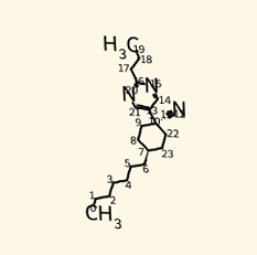 CCCCCCC[C@H]1CC[C@@](C#N)(c2cnc(CCC)nc2)CC1